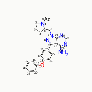 CC(=O)N1CCC[C@@H]1Cn1nc(-c2ccc(Oc3ccccc3)cc2)c2c(N)ncnc21